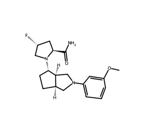 COc1cccc(N2C[C@H]3CC[C@H](N4C[C@H](F)C[C@H]4C(N)=O)[C@H]3C2)c1